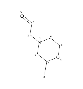 O=CCN1CCOC(I)C1